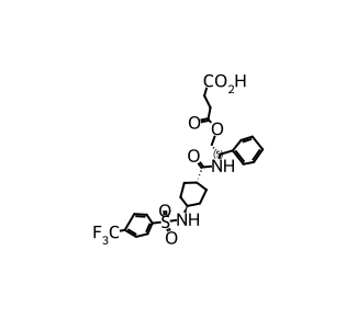 O=C(O)CCC(=O)OC[C@@H](NC(=O)[C@H]1CC[C@H](NS(=O)(=O)c2ccc(C(F)(F)F)cc2)CC1)c1ccccc1